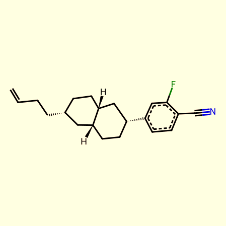 C=CCC[C@@H]1CC[C@@H]2C[C@H](c3ccc(C#N)c(F)c3)CC[C@@H]2C1